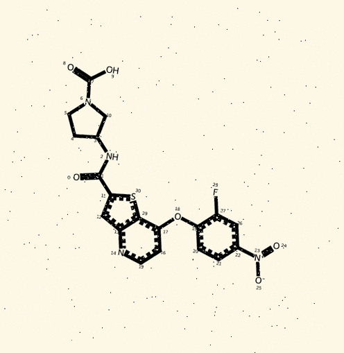 O=C(NC1CCN(C(=O)O)C1)c1cc2nccc(Oc3ccc([N+](=O)[O-])cc3F)c2s1